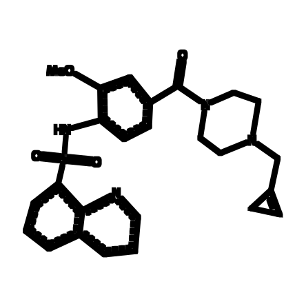 COc1cc(C(=O)N2CCN(CC3=CC3)CC2)ccc1NS(=O)(=O)c1cccc2cccnc12